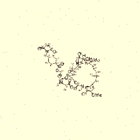 COc1cc2cc(c1Cl)N(C)C(=O)C[C@H](OC(=O)[C@H](C)N(C)C(=O)OCOC(=O)C1CCC(CN3C(=O)C=CC3=O)CC1)[C@]1(C)O[C@H]1[C@H](C)[C@@H]1C[C@@](O)(NC(=O)O1)[C@H](OC)/C=C/C=C(\C)C2